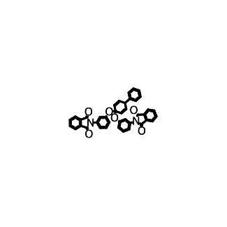 O=C1c2ccccc2C(=O)N1c1cccc(OC2(Oc3cccc(N4C(=O)c5ccccc5C4=O)c3)C=CC(c3ccccc3)C=C2)c1